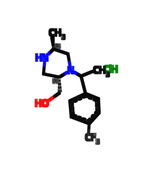 CC(c1ccc(C(F)(F)F)cc1)N1C[C@H](C)NC[C@H]1CO.Cl